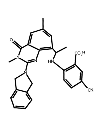 Cc1cc(C(C)Nc2ccc(C#N)cc2C(=O)O)c2nc(N3Cc4ccccc4C3)n(C)c(=O)c2c1